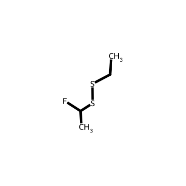 CCSSC(C)F